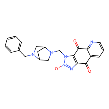 O=C1c2cccnc2C(=O)c2c1n[n+]([O-])n2CN1CC2CC1CN2Cc1ccccc1